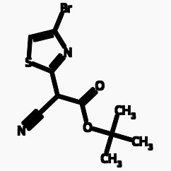 CC(C)(C)OC(=O)C(C#N)c1nc(Br)cs1